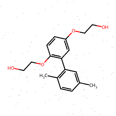 Cc1ccc(C)c(-c2cc(OCCO)ccc2OCCO)c1